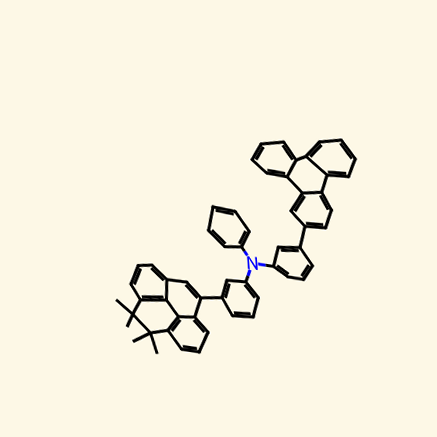 CC1(C)c2cccc3cc(-c4cccc(N(c5ccccc5)c5cccc(-c6ccc7c8ccccc8c8ccccc8c7c6)c5)c4)c4cccc(c4c23)C1(C)C